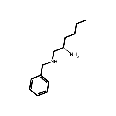 CCCC[C@H](N)CNCc1ccccc1